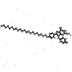 Nc1nc2c(nc(-c3ccc(OCCOCCOCCOCCOCCOCCCCCCCl)cc3)n2Cc2ccc(F)cc2)c(=O)[nH]1